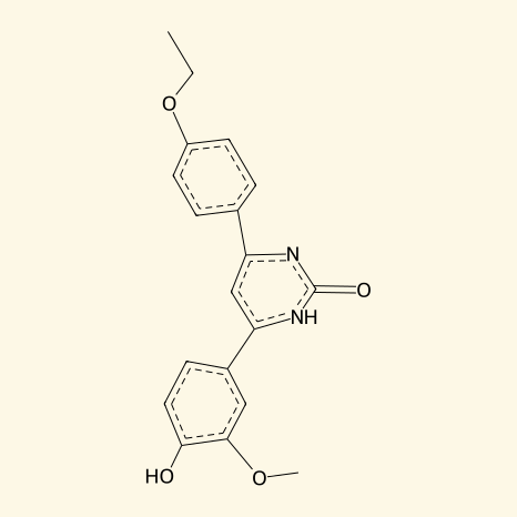 CCOc1ccc(-c2cc(-c3ccc(O)c(OC)c3)[nH]c(=O)n2)cc1